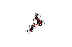 Cc1c(C(=O)Nc2ccc(S(C)(=O)=O)cc2)cn(CCOC(=O)C(=O)Nc2ccc(S(C)(=O)=O)cc2)c1C1=C(C(F)(F)F)C=CC2CC12